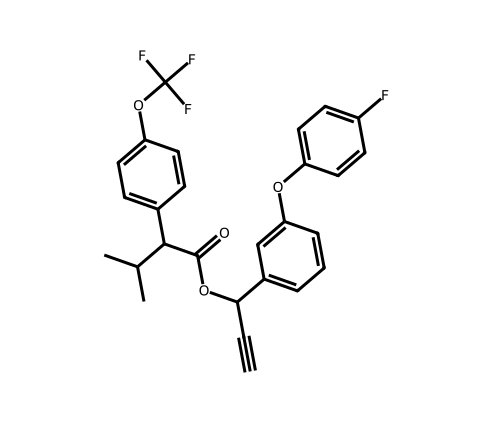 C#CC(OC(=O)C(c1ccc(OC(F)(F)F)cc1)C(C)C)c1cccc(Oc2ccc(F)cc2)c1